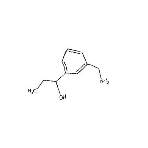 CCC(O)c1cccc(CN)c1